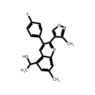 Cc1cc(C(C)O)c2cc(-c3ccc(F)cc3)c(-c3conc3C)nc2c1